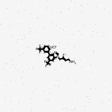 Cl.NC/C=C(\F)Cn1cnc2c(-c3cccc(C(F)(F)F)c3)cc(C(F)(F)F)cc21